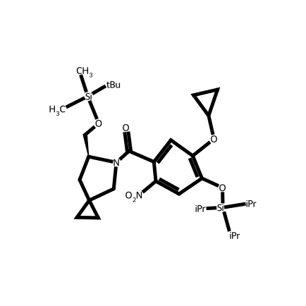 CC(C)[Si](Oc1cc([N+](=O)[O-])c(C(=O)N2CC3(CC3)C[C@H]2CO[Si](C)(C)C(C)(C)C)cc1OC1CC1)(C(C)C)C(C)C